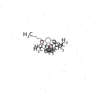 CCCCCCC1CCC(CCCCC)C(C(C(=O)O)(C(=O)O)C(C)C)C1C(C(=O)O)(C(=O)O)C(C)C